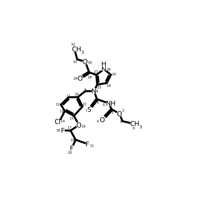 CCOC(=O)NC(=S)N(Cc1ccc(Cl)c(OC(F)C(F)F)c1)c1cc[nH]c1C(=O)OCC